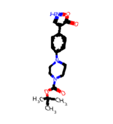 CC(C)(C)OC(=O)N1CCN(c2ccc(-c3c[nH]oc3=O)cc2)CC1